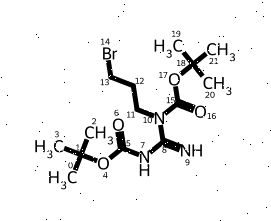 CC(C)(C)OC(=O)NC(=N)N(CCCBr)C(=O)OC(C)(C)C